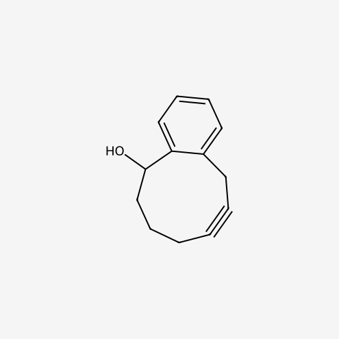 OC1CCCC#CCc2ccccc21